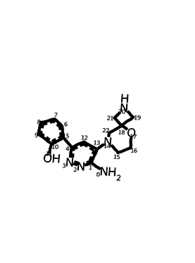 Nc1nnc(-c2ccccc2O)cc1N1CCOC2(CNC2)C1